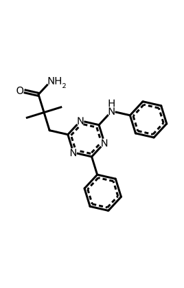 CC(C)(Cc1nc(Nc2ccccc2)nc(-c2ccccc2)n1)C(N)=O